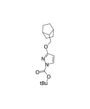 CC(C)(C)OC(=O)n1ccc(OCC2C3CCC2CC3)n1